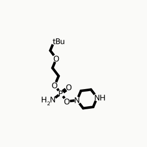 CC(C)(C)COCCOP(N)(=O)ON1CCNCC1